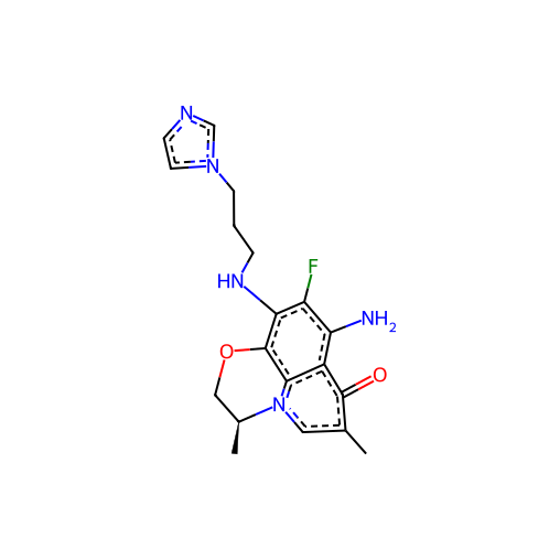 Cc1cn2c3c(c(NCCCn4ccnc4)c(F)c(N)c3c1=O)OC[C@@H]2C